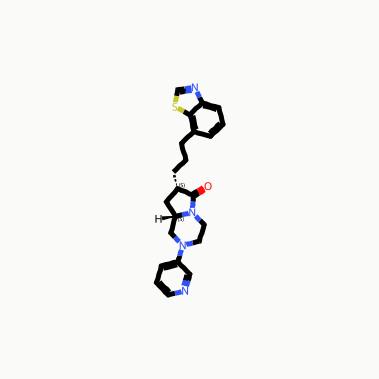 O=C1[C@@H](CCCc2cccc3ncsc23)C[C@H]2CN(c3cccnc3)CCN12